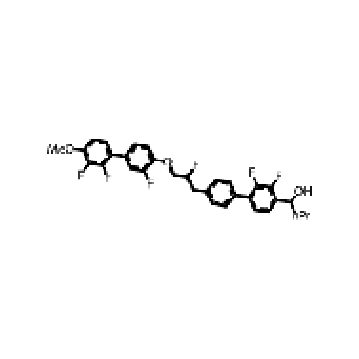 CCCC(O)c1ccc(-c2ccc(CC(F)COc3ccc(-c4ccc(OC)c(F)c4F)cc3F)cc2)c(F)c1F